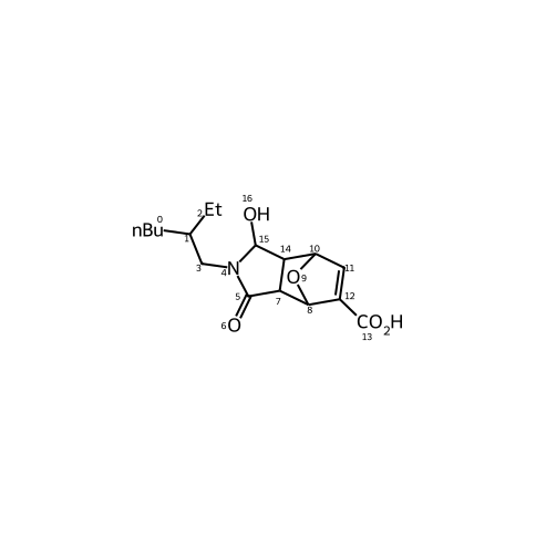 CCCCC(CC)CN1C(=O)C2C3OC(C=C3C(=O)O)C2C1O